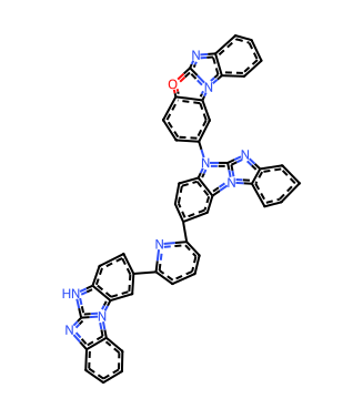 c1cc(-c2ccc3[nH]c4nc5ccccc5n4c3c2)nc(-c2ccc3c(c2)n2c4ccccc4nc2n3-c2ccc3oc4nc5ccccc5n4c3c2)c1